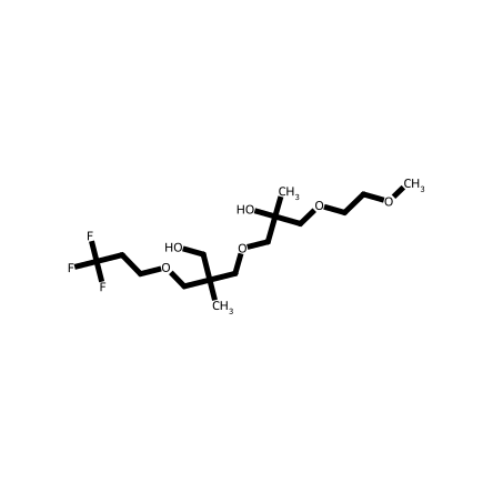 COCCOCC(C)(O)COCC(C)(CO)COCCC(F)(F)F